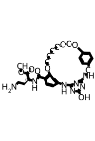 COC(=O)[C@H](CCN)NC(=O)c1ccc2cc1OCCCCCCOc1ccc(cc1)CNc1nc(O)nc(n1)N2